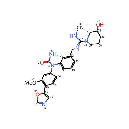 COc1cc(N(C(N)=O)c2cccc(C/N=C(\NC#N)N3CCCC(O)C3)c2)ccc1-c1cnco1